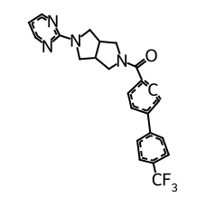 O=C(c1ccc(-c2ccc(C(F)(F)F)cc2)cc1)N1CC2CN(c3ncccn3)CC2C1